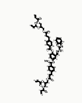 C=CC(=O)OCC(COC(=O)/C=C/c1ccc(C(=O)Oc2ccc(OC(O)c3ccc(/C=C/C(=O)OCC(COC(=O)C=C)OC(=O)C=C)cc3)cc2/C=N/Nc2nc3ccccc3s2)cc1)OC(=O)C=C